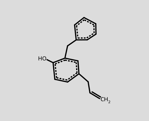 C=CCc1ccc(O)c(Cc2ccccc2)c1